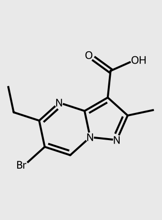 CCc1nc2c(C(=O)O)c(C)nn2cc1Br